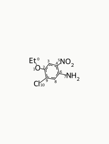 CCOc1cc([N+](=O)[O-])c(N)cc1Cl